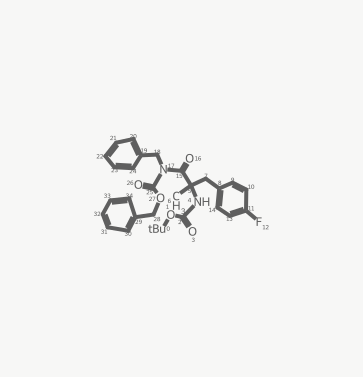 CC(C)(C)OC(=O)NC(C)(Cc1ccc(F)cc1)C(=O)N(Cc1ccccc1)C(=O)OCc1ccccc1